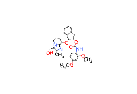 COc1ccc(NC(=O)OC2Cc3ccccc3C2Oc2cccn3c(CO)c(C)nc23)c(OC)c1